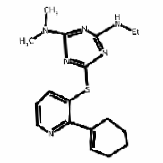 CCNc1nc(Sc2cccnc2C2=CCCCC2)nc(N(C)C)n1